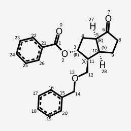 O=C(O[C@@H]1C[C@H]2C(=O)CC[C@H]2[C@H]1COCc1ccccc1)c1ccccc1